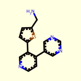 NCc1ccc(-c2cnccc2-c2cncnc2)s1